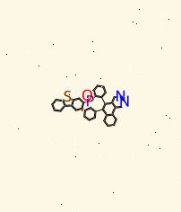 O=P1(c2ccc3c(c2)sc2ccccc23)c2ccccc2-c2c(c3cnncc3c3ccccc23)-c2ccccc21